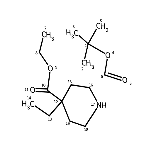 CC(C)(C)OC=O.CCOC(=O)C1(CC)CCNCC1